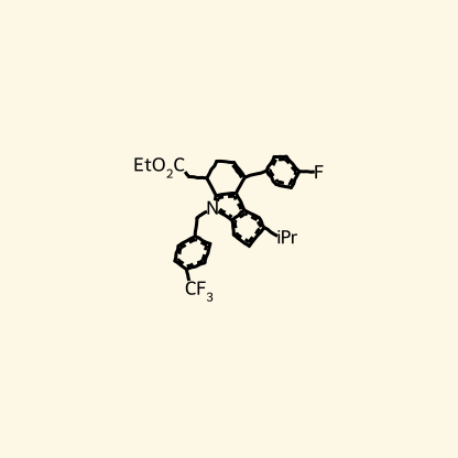 CCOC(=O)CC1CC=C(c2ccc(F)cc2)c2c1n(Cc1ccc(C(F)(F)F)cc1)c1ccc(C(C)C)cc21